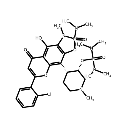 CN1CC[C@H](c2c3c(c(O)c4c(=O)cc(-c5ccccc5Cl)oc24)N(C)P(=O)(N(C)C)O3)[C@H](OP(=O)(N(C)C)N(C)C)C1